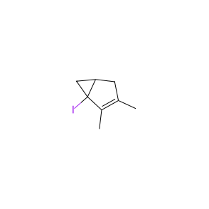 CC1=C(C)C2(I)CC2C1